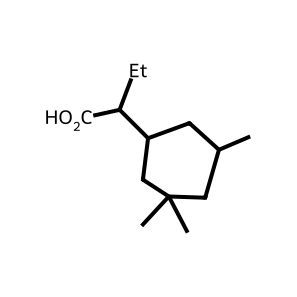 CCC(C(=O)O)C1CC(C)CC(C)(C)C1